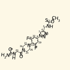 COC(=S)NCc1cn(-c2cc(F)c(N3CCN(C(=O)CNC(N)=O)CC3)c(F)c2)nn1